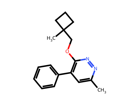 Cc1cc(-c2ccccc2)c(OCC2(C)CCC2)nn1